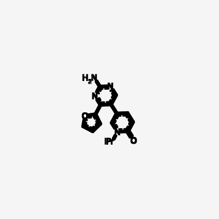 CC(C)n1cc(-c2cnc(N)nc2-c2ccco2)ccc1=O